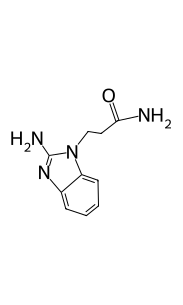 NC(=O)CCn1c(N)nc2ccccc21